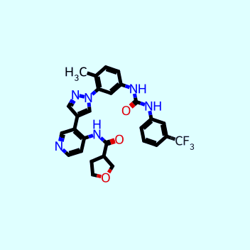 Cc1ccc(NC(=O)Nc2cccc(C(F)(F)F)c2)cc1-n1cc(-c2cnccc2NC(=O)C2CCOC2)cn1